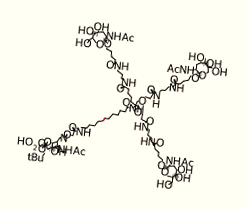 CC(=O)NC1CC(O)[C@H](O)C(CO)CO[C@@H]1OCCCCC(=O)NCCCNC(=O)CCCCC(COCCC(=O)NCCCNC(=O)CCCCO[C@H]1OCC(CO)[C@@H](O)C(O)CC1NC(C)=O)(COCCC(=O)NCCCNC(=O)CCCCO[C@H]1OCC(CO)[C@@](C)(O)C(O)CC1NC(C)=O)NC(=O)CCCCCCCCCCCCNC(=O)CON=CC1C2O[C@@](OCC(C)(C)C)(C(=O)O)C[C@]2(O)[C@@H]1NC(C)=O